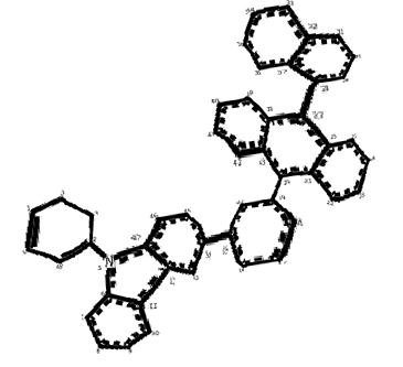 C1=CCCC(n2c3ccccc3c3cc(-c4cccc(-c5c6ccccc6c(-c6cccc7ccccc67)c6ccccc56)c4)ccc32)=C1